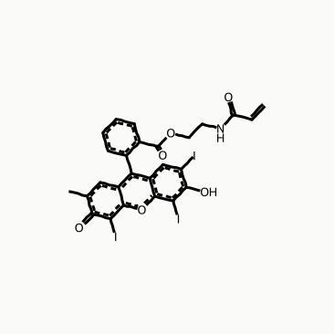 C=CC(=O)NCCOC(=O)c1ccccc1-c1c2cc(C)c(=O)c(I)c-2oc2c(I)c(O)c(I)cc12